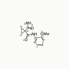 COc1ccccc1NC(=O)C1(C(N)=O)CC1